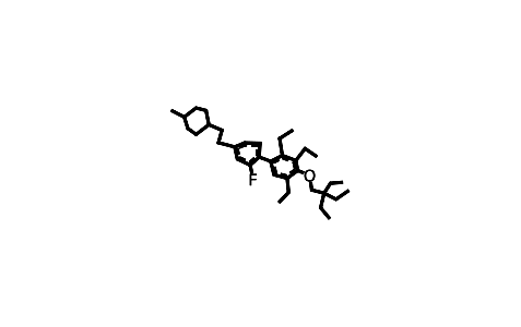 CCc1cc(-c2ccc(CCC3CCC(C)CC3)cc2F)c(CC)c(CC)c1OCC(CC)(CC)CC